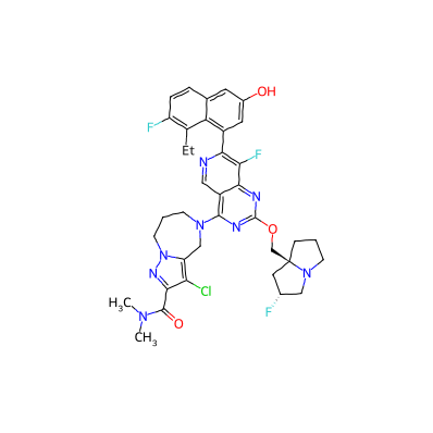 CCc1c(F)ccc2cc(O)cc(-c3ncc4c(N5CCCn6nc(C(=O)N(C)C)c(Cl)c6C5)nc(OC[C@@]56CCCN5C[C@H](F)C6)nc4c3F)c12